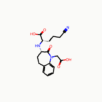 N#CCCC[C@H](N[C@H]1CCc2ccccc2N(CC(=O)O)C1=O)C(=O)O